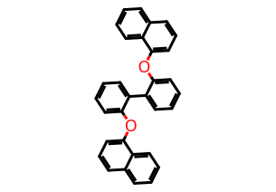 c1ccc(-c2ccccc2Oc2cccc3ccccc23)c(Oc2cccc3ccccc23)c1